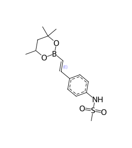 CC1CC(C)(C)OB(/C=C/c2ccc(NS(C)(=O)=O)cc2)O1